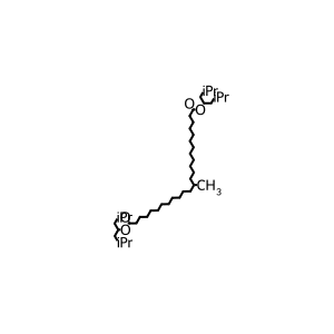 CC(C)CC(CC(C)C)OC(=O)CCCCCCCCCCCC(C)CCCCCCCCCCCC(=O)OC(CC(C)C)CC(C)C